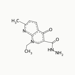 CCn1cc(C(=O)NN)c(=O)c2ccc(C)nc21